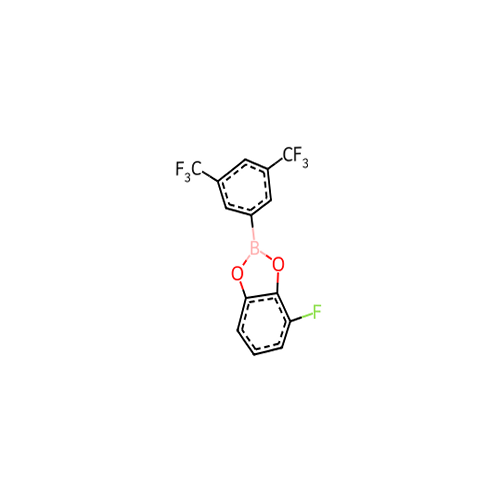 Fc1cccc2c1OB(c1cc(C(F)(F)F)cc(C(F)(F)F)c1)O2